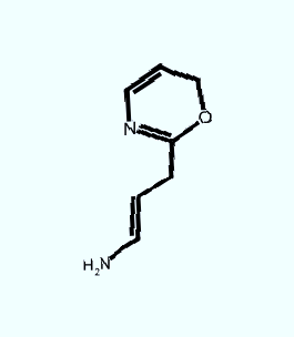 NC=CCC1=NC=CCO1